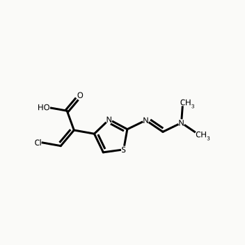 CN(C)C=Nc1nc(C(=CCl)C(=O)O)cs1